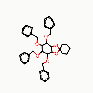 c1ccc(COC2C(OCc3ccccc3)C(OCc3ccccc3)C3OC4(CCCCC4)OC3C2OCc2ccccc2)cc1